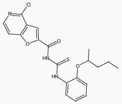 CCCC(C)Oc1ccccc1NC(=S)NC(=O)c1cc2c(Cl)nccc2o1